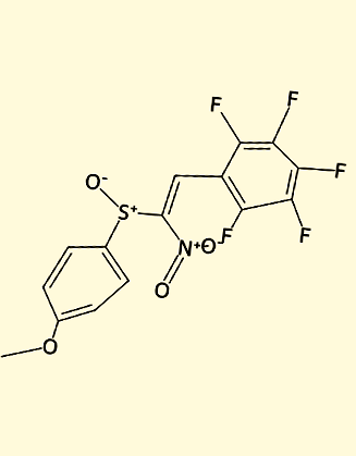 COc1ccc([S+]([O-])C(=Cc2c(F)c(F)c(F)c(F)c2F)[N+](=O)[O-])cc1